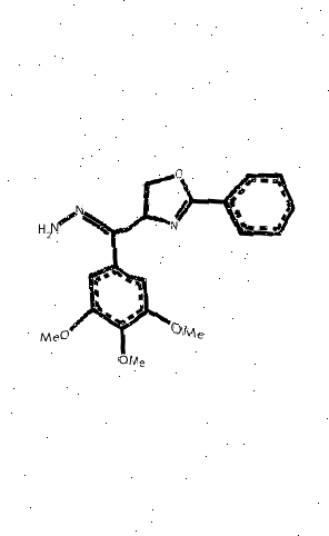 COc1cc(/C(=N\N)C2COC(c3ccccc3)=N2)cc(OC)c1OC